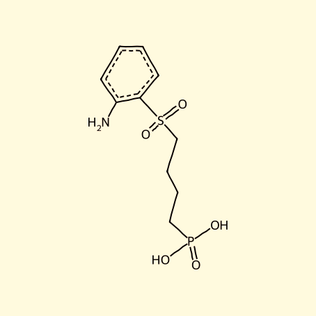 Nc1ccccc1S(=O)(=O)CCCCP(=O)(O)O